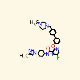 Cc1cn([C@H]2CC[C@H](NC(=O)c3cc(F)cnc3Oc3cccc(-c4ccc(CN5CCCN(C)CC5)cc4)c3)CC2)cn1